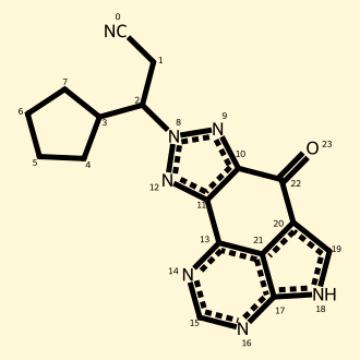 N#CCC(C1CCCC1)n1nc2c(n1)-c1ncnc3[nH]cc(c13)C2=O